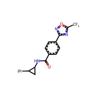 CC(C)C1CC1NC(=O)c1ccc(-c2noc(C(F)(F)F)n2)cc1